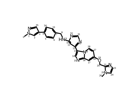 Cn1cc(-c2ccc(CNc3cc(-c4cnc5cc(OCc6nccn6C)ccn45)ncn3)cc2)cn1